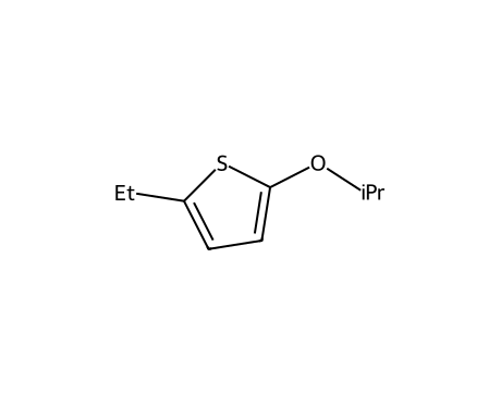 CCc1ccc(OC(C)C)s1